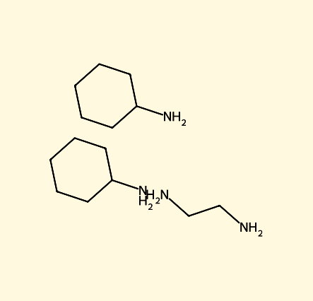 NC1CCCCC1.NC1CCCCC1.NCCN